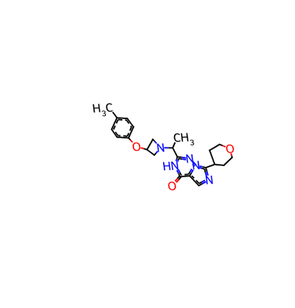 Cc1ccc(OC2CN(C(C)c3nn4c(C5CCOCC5)ncc4c(=O)[nH]3)C2)cc1